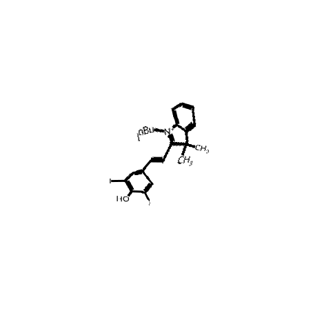 CCCC[N+]1=C(C=Cc2cc(I)c(O)c(I)c2)C(C)(C)c2ccccc21.[I-]